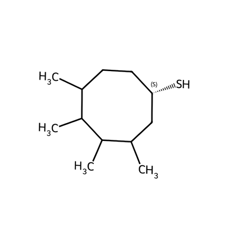 CC1CC[C@H](S)CC(C)C(C)C1C